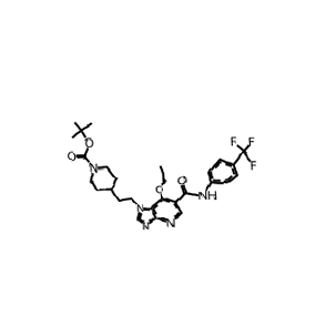 CCOc1c(C(=O)Nc2ccc(C(F)(F)F)cc2)cnc2ncn(CCC3CCN(C(=O)OC(C)(C)C)CC3)c12